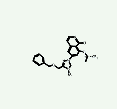 CCN1CN(c2cc(O[C@@H](C)C(F)(F)F)c3c(Cl)nccc3c2)N=C1COCc1ccccc1